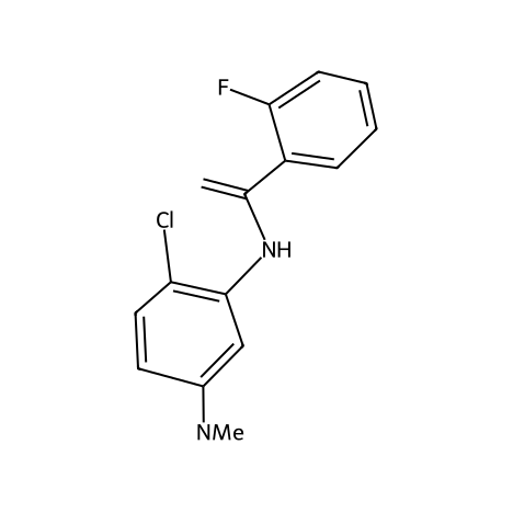 C=C(Nc1cc(NC)ccc1Cl)c1ccccc1F